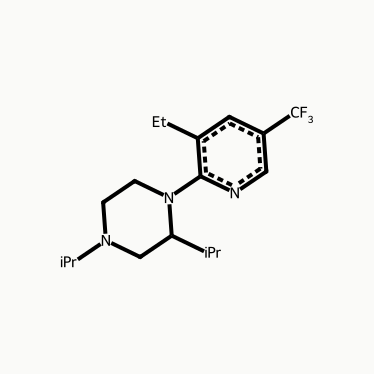 CCc1cc(C(F)(F)F)cnc1N1CCN(C(C)C)CC1C(C)C